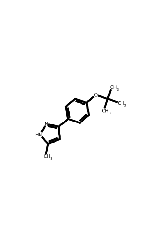 Cc1cc(-c2ccc(OC(C)(C)C)cc2)n[nH]1